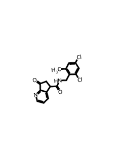 Cc1cc(Cl)cc(Cl)c1CNC(=O)C1CC(=O)c2ncccc21